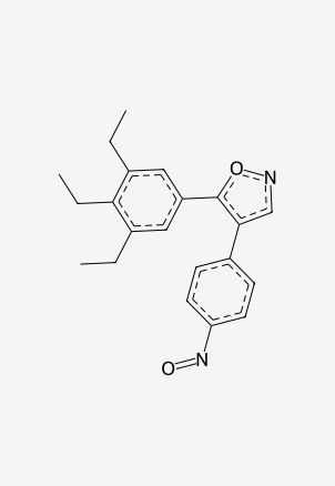 CCc1cc(-c2oncc2-c2ccc(N=O)cc2)cc(CC)c1CC